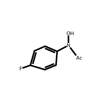 CC(=O)N(O)c1ccc(F)cc1